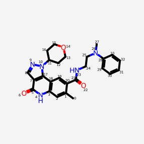 Cc1cc2[nH]c(=O)c3cnn(C4CCOCC4)c3c2cc1C(=O)NCCN(C)c1ccccc1